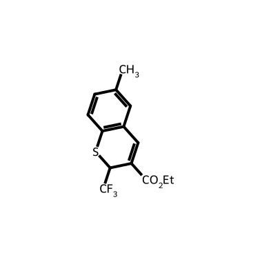 CCOC(=O)C1=Cc2cc(C)ccc2SC1C(F)(F)F